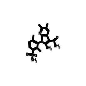 Cc1cc2c(C(N)=O)c(N)n(-c3c(C)ccc(S(N)(=O)=O)c3C)c2nc1C